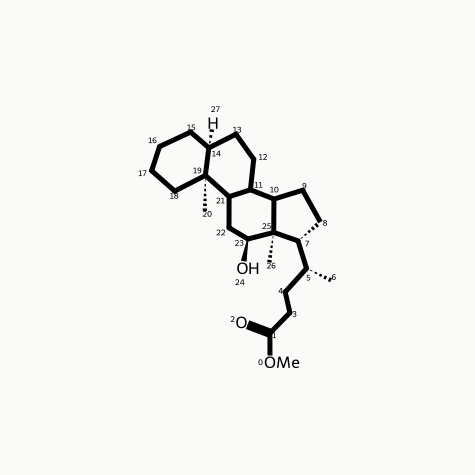 COC(=O)CC[C@@H](C)[C@H]1CCC2C3CC[C@@H]4CCCC[C@]4(C)C3C[C@H](O)[C@@]21C